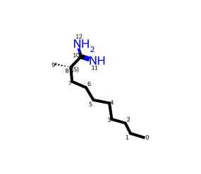 CCCCCCCC[C@H](C)C(=N)N